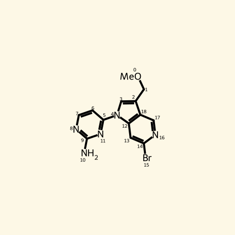 COCc1cn(-c2ccnc(N)n2)c2cc(Br)ncc12